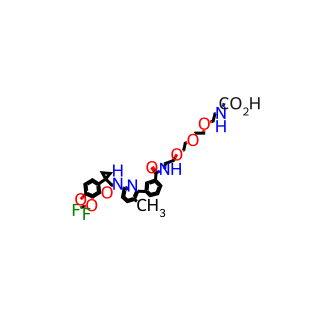 Cc1ccc(NC(=O)C2(c3ccc4c(c3)OC(F)(F)O4)CC2)nc1-c1cccc(C(=O)NCCOCCOCCOCCNC(=O)O)c1